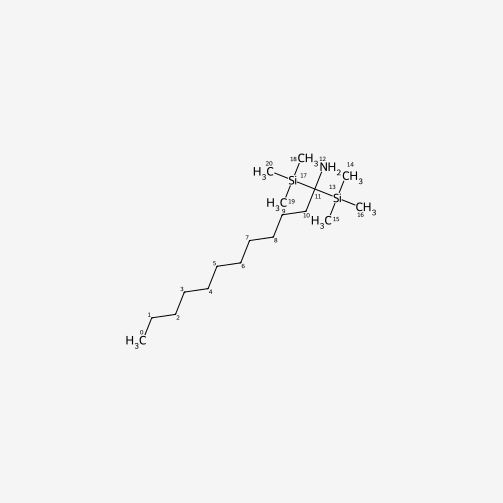 CCCCCCCCCCCC(N)([Si](C)(C)C)[Si](C)(C)C